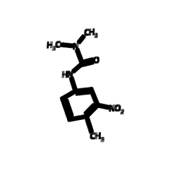 Cc1ccc(NC(=O)N(C)C)cc1[N+](=O)[O-]